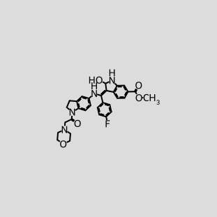 COC(=O)c1ccc2c(c1)NC(O)/C2=C(\Nc1ccc2c(c1)CCN2C(=O)CN1CCOCC1)c1ccc(F)cc1